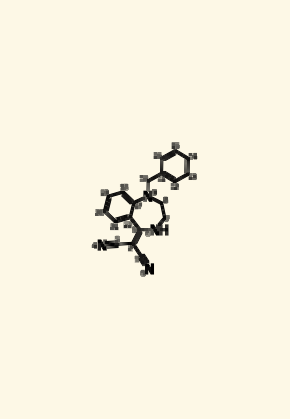 N#CC(C#N)=C1NCCN(Cc2ccccc2)c2ccccc21